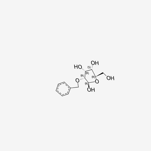 OC[C@H]1O[C@@H](O)[C@H](OCc2ccccc2)[C@H](O)[C@@H]1O